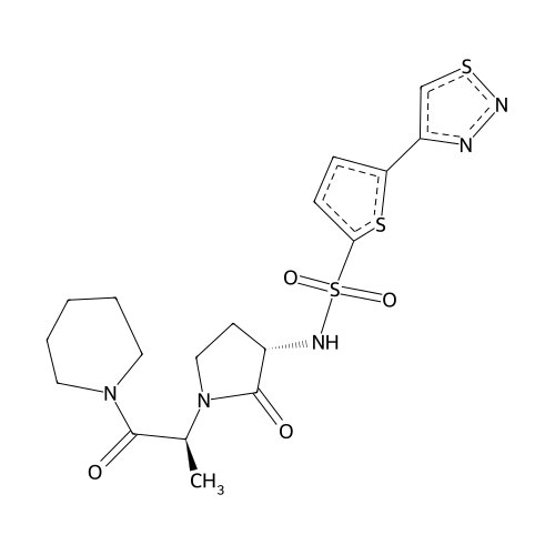 C[C@@H](C(=O)N1CCCCC1)N1CC[C@H](NS(=O)(=O)c2ccc(-c3csnn3)s2)C1=O